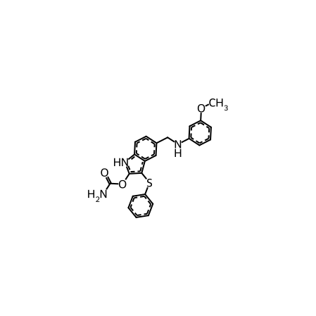 COc1cccc(NCc2ccc3[nH]c(OC(N)=O)c(Sc4ccccc4)c3c2)c1